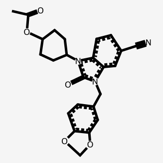 CC(=O)OC1CCC(n2c(=O)n(Cc3ccc4c(c3)OCO4)c3cc(C#N)ccc32)CC1